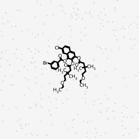 CCOCCC(C)(C)CC(=O)Oc1cc2ccc(Cl)cc2c(OC(=O)c2cccc(Br)c2)c1OC(=O)CC(C)(C)CCOCC